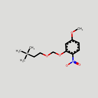 COc1ccc([N+](=O)[O-])c(OCOCC[Si](C)(C)C)c1